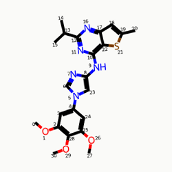 COc1cc(-n2cnc(Nc3nc(C(C)C)nc4cc(C)sc34)c2)cc(OC)c1OC